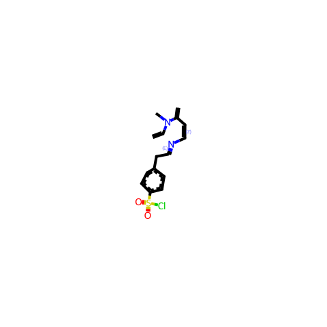 C=CN(C)C(=C)/C=C\N=C\Cc1ccc(S(=O)(=O)Cl)cc1